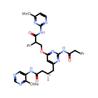 COc1ccnc(NC(=O)C(COc2cc(C[C@H](C)CC(=O)Nc3cncnc3OC)nc(NC(=O)CC(C)C)n2)C(C)C)n1